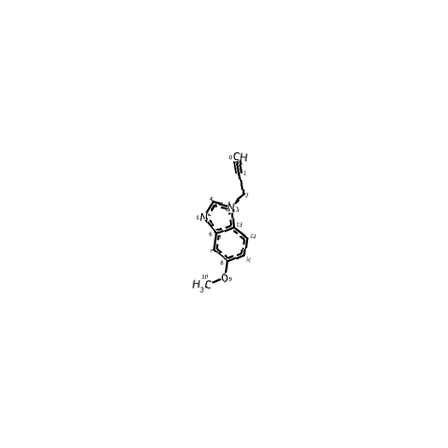 C#CCn1cnc2cc(OC)ccc21